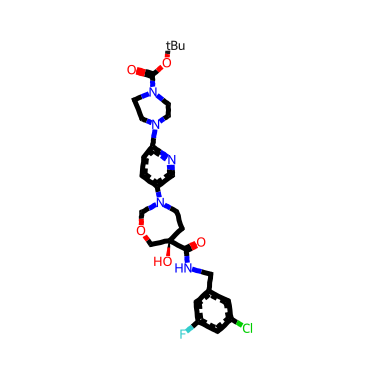 CC(C)(C)OC(=O)N1CCN(c2ccc(N3CC[C@](O)(C(=O)NCc4cc(F)cc(Cl)c4)COC3)cn2)CC1